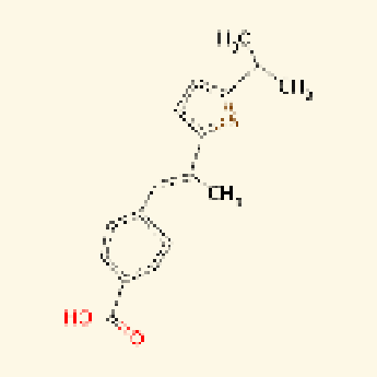 C/C(=C\c1ccc(C(=O)O)cc1)c1ccc(C(C)C)s1